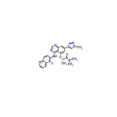 C[C@H](Oc1cc(-c2cnn(C)c2)cc2ncnc(Nc3ccc4ncccc4c3F)c12)C(=O)N(C)C